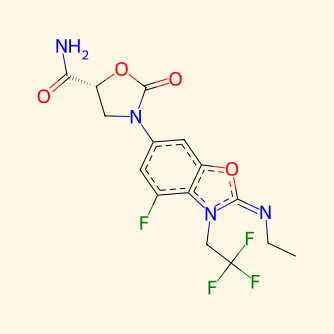 CC/N=c1/oc2cc(N3C[C@H](C(N)=O)OC3=O)cc(F)c2n1CC(F)(F)F